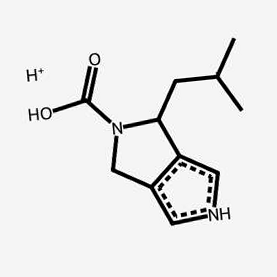 C[C](C)CC1c2c[nH]cc2CN1C(=O)O.[H+]